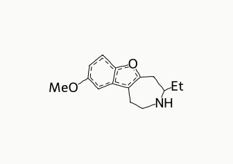 CCC1Cc2oc3ccc(OC)cc3c2CCN1